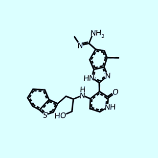 CN=C(N)c1cc(C)c2nc(-c3c(NC(CO)Cc4csc5ccccc45)cc[nH]c3=O)[nH]c2c1